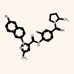 Cc1cc(C(=O)Nc2ccc(C(=N)N3CCCC3C)cc2F)n(-c2ccc3cc(Br)ccc3c2)n1